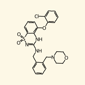 O=S1(=O)N=C(NCc2ccccc2CN2CCOCC2)Nc2c(Oc3ccccc3Cl)cccc21